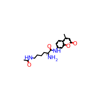 CC(=O)NCCCC[C@H](N)C(=O)Nc1ccc2c(C)cc(=O)oc2c1